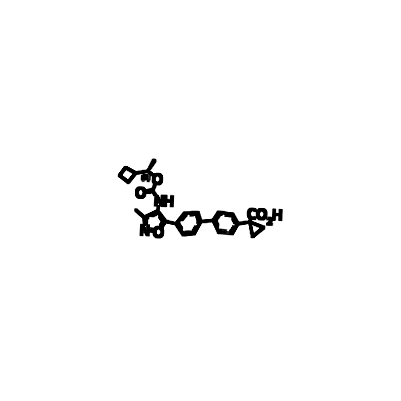 Cc1noc(-c2ccc(-c3ccc(C4(C(=O)O)CC4)cc3)cc2)c1NC(=O)O[C@H](C)C1CCC1